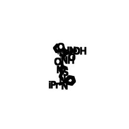 CC(C)c1nc2ccccc2n1Cc1nc(C(=O)N[C@@H]2C[C@@]3(CCCO3)C[C@@H]2C(=O)NO)cs1